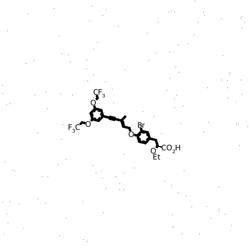 CCO[C@@H](Cc1ccc(OC/C=C(\C)C#Cc2cc(OCC(F)(F)F)cc(OCC(F)(F)F)c2)c(Br)c1)C(=O)O